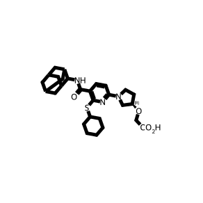 O=C(O)CO[C@@H]1CCN(c2ccc(C(=O)NC3C4CC5CC(C4)CC3C5)c(SC3CCCCC3)n2)C1